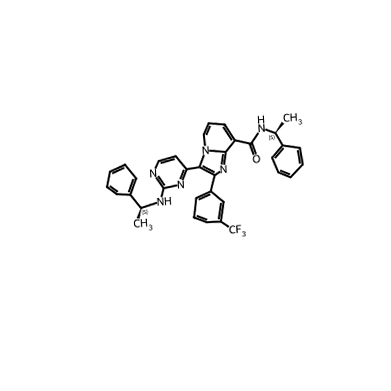 C[C@H](NC(=O)c1cccn2c(-c3ccnc(N[C@@H](C)c4ccccc4)n3)c(-c3cccc(C(F)(F)F)c3)nc12)c1ccccc1